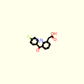 Nc1c(CC(=O)O)cccc1C(=O)c1ccc(F)cc1